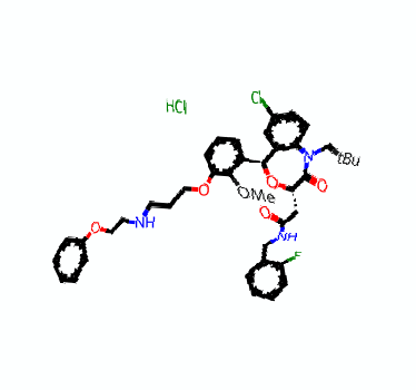 COc1c(OCCCNCCOc2ccccc2)cccc1[C@@H]1O[C@@H](CC(=O)NCc2ccccc2F)C(=O)N(CC(C)(C)C)c2ccc(Cl)cc21.Cl